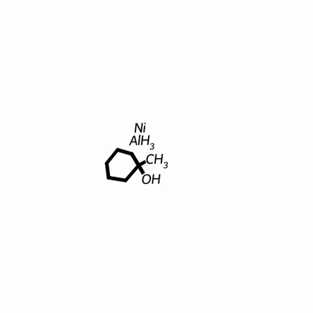 CC1(O)CCCCC1.[AlH3].[Ni]